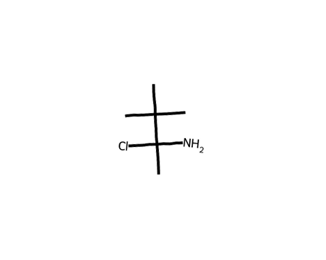 CC(C)(C)C(C)(N)Cl